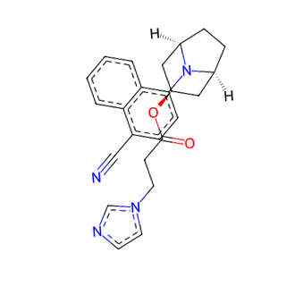 N#Cc1ccc(N2[C@@H]3CC[C@H]2C[C@@H](OC(=O)CCn2ccnc2)C3)c2ccccc12